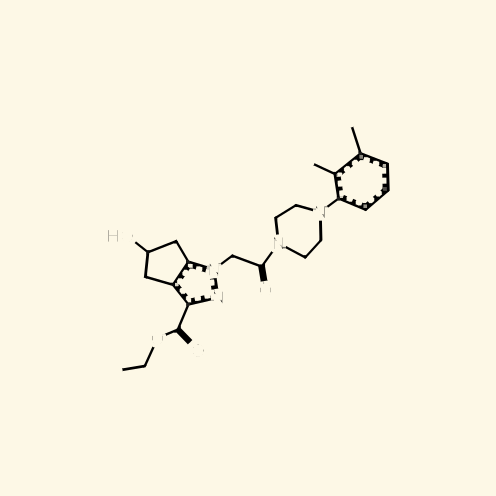 CCOC(=O)c1nn(CC(=O)N2CCN(c3cccc(C)c3C)CC2)c2c1CC(O)C2